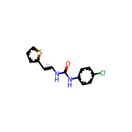 O=C(N/C=C/c1cccs1)Nc1ccc(Cl)cc1